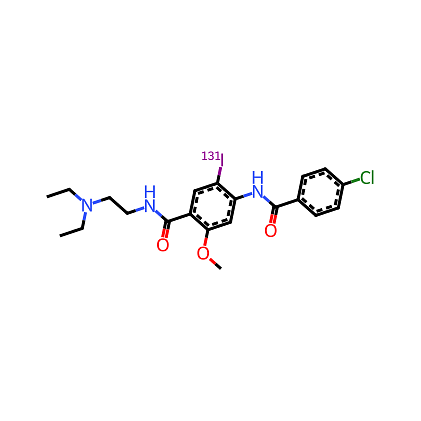 CCN(CC)CCNC(=O)c1cc([131I])c(NC(=O)c2ccc(Cl)cc2)cc1OC